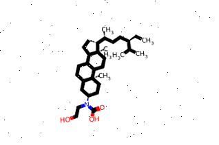 CC[C@H](CC[C@@H](C)[C@H]1CCC2C3CCC4C[C@@H](N(CCO)C(=O)O)CC[C@]4(C)C3CC[C@@]21C)C(C)C